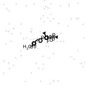 COc1ccc(CN2CCCC(Oc3cc(F)c(C(=O)NS(=O)(=O)C4CC4)cc3C3CC3)C2)cc1F